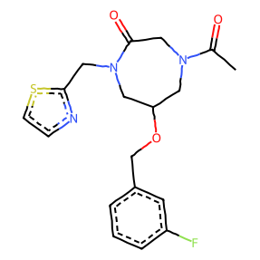 CC(=O)N1CC(=O)N(Cc2nccs2)CC(OCc2cccc(F)c2)C1